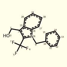 OCc1c(C(F)(F)F)n(Cc2ccccc2)c2ccccc12